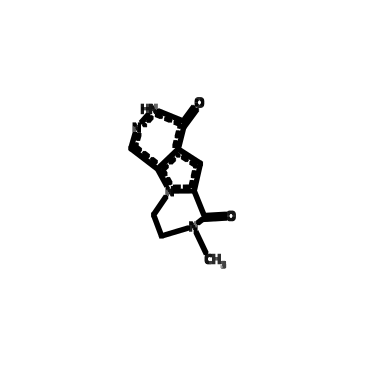 CN1CCn2c(cc3c(=O)[nH]ncc32)C1=O